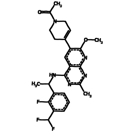 COc1nc2nc(C)nc(NC(C)c3cccc(C(F)F)c3F)c2cc1C1=CCN(C(C)=O)CC1